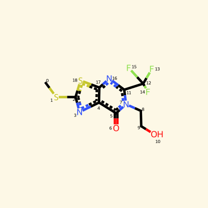 CSc1nc2c(=O)n(CCO)c(C(F)(F)F)nc2s1